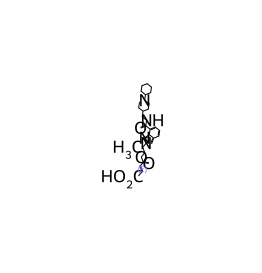 CC(COC(=O)/C=C/C(=O)O)n1cc2cccc(C(=O)NCC3CCN(C4CCCCC4)CC3)c2n1